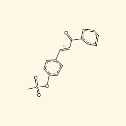 CS(=O)(=O)Oc1ccc(/C=C/C(=O)c2ccccc2)cc1